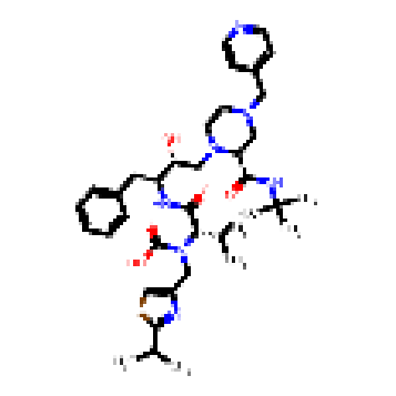 CC(C)c1nc(CN(C(=O)O)[C@H](C(=O)N[C@@H](Cc2ccccc2)[C@H](O)CN2CCN(Cc3ccncc3)C[C@H]2C(=O)NC(C)(C)C)C(C)C)cs1